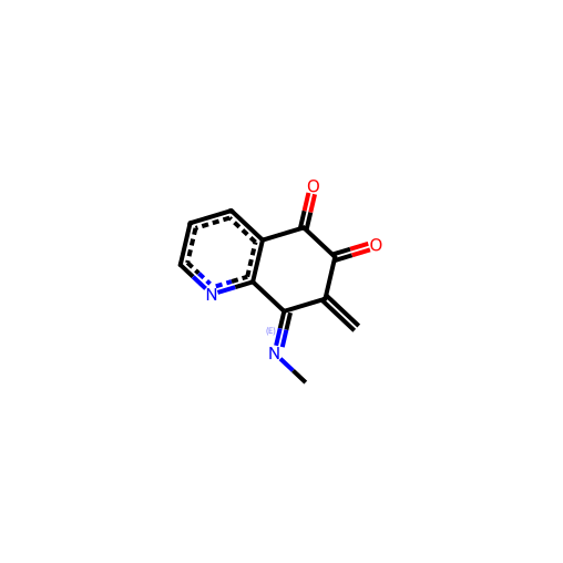 C=C1C(=O)C(=O)c2cccnc2/C1=N/C